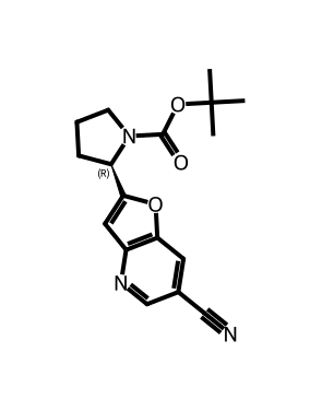 CC(C)(C)OC(=O)N1CCC[C@@H]1c1cc2ncc(C#N)cc2o1